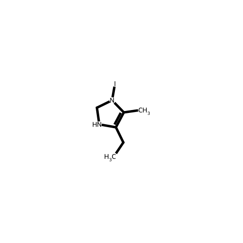 CCC1=C(C)N(I)CN1